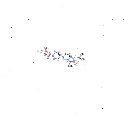 Cn1c(=O)n(CC(C)(C)C)c2ccc(C3=CCN(C(=O)OC(C)(C)C)CC3)nc21